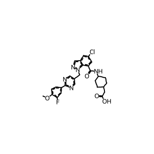 COc1ccc(-c2ncc(Cn3ncc4cc(Cl)cc(C(=O)NC5CCC(CC(=O)O)CC5)c43)cn2)cc1F